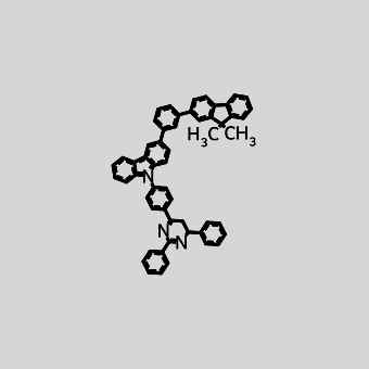 CC1(C)c2ccccc2-c2ccc(-c3cccc(-c4ccc5c(c4)c4ccccc4n5-c4ccc(C5=NC(c6ccccc6)=NC(c6ccccc6)C5)cc4)c3)cc21